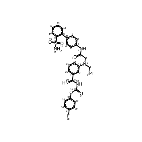 CC(C)CN(CC(=O)Nc1ccc(-c2ccccc2S(N)(=O)=O)cc1)c1cccc(C(=N)NC(=O)Oc2ccc(F)cc2)c1